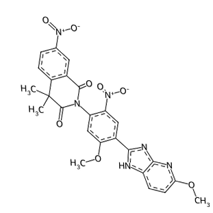 COc1ccc2[nH]c(-c3cc([N+](=O)[O-])c(N4C(=O)c5cc([N+](=O)[O-])ccc5C(C)(C)C4=O)cc3OC)nc2n1